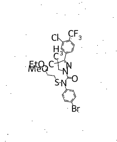 CCOC(=O)C1(C)CN(C(=O)N(SCCOC)c2ccc(Br)cc2)N=C1c1ccc(C(F)(F)F)c(Cl)c1